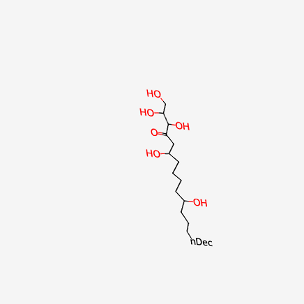 CCCCCCCCCCCCCC(O)CCCCC(O)CC(=O)C(O)C(O)CO